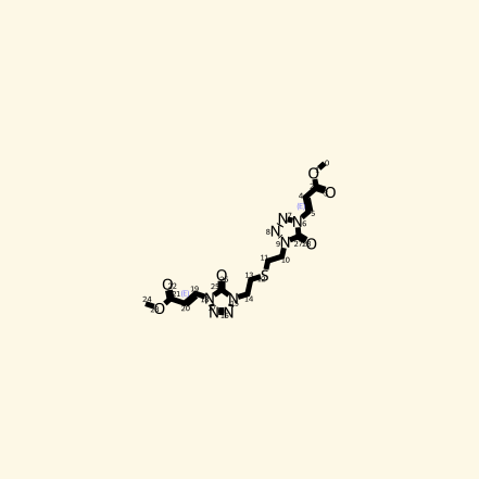 COC(=O)/C=C/n1nnn(CCSCCn2nnn(/C=C/C(=O)OC)c2=O)c1=O